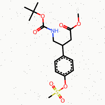 COC(=O)CC(CNC(=O)OC(C)(C)C)c1ccc(OS(C)(=O)=O)cc1